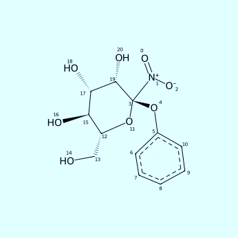 O=[N+]([O-])[C@]1(Oc2ccccc2)O[C@H](CO)[C@@H](O)[C@H](O)[C@@H]1O